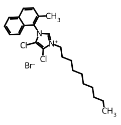 CCCCCCCCCC[n+]1cn(-c2c(C)ccc3ccccc23)c(Cl)c1Cl.[Br-]